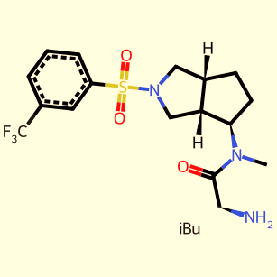 CC[C@H](C)[C@H](N)C(=O)N(C)[C@@H]1CC[C@H]2CN(S(=O)(=O)c3cccc(C(F)(F)F)c3)C[C@H]21